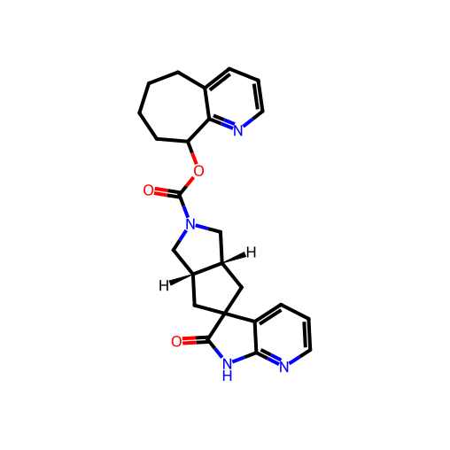 O=C(OC1CCCCc2cccnc21)N1C[C@@H]2CC3(C[C@@H]2C1)C(=O)Nc1ncccc13